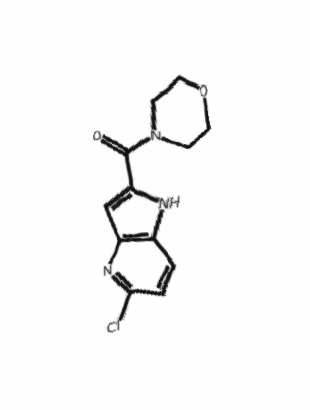 O=C(c1cc2nc(Cl)ccc2[nH]1)N1CCOCC1